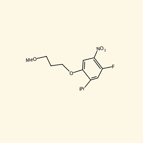 COCCCOc1cc([N+](=O)[O-])c(F)cc1C(C)C